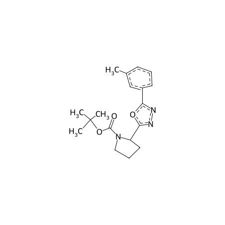 Cc1cccc(-c2nnc(C3CCCN3C(=O)OC(C)(C)C)o2)c1